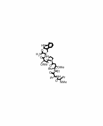 CC[C@H](C)[C@@H]([C@@H](CC(=O)N1CCC[C@H]1[C@H](OC)[C@@H](C)C(=O)N[C@@H](Cc1c[nH]c2ccccc12)C(N)=O)OC)N(CC)C(=O)[C@@H](NC(=O)[C@@H](NC)C(C)C)C(C)C